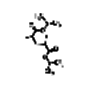 CC(CC(C)C(=O)OC(C(F)(F)F)C(F)(F)F)C(=O)OC(C(F)(F)F)C(F)(F)F